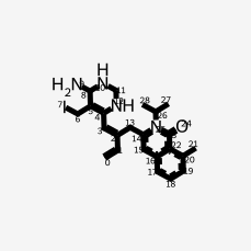 C=C/C(=C/C1=C(CI)C(N)NCN1)Cc1cc2cccc(C)c2c(=O)n1C(C)C